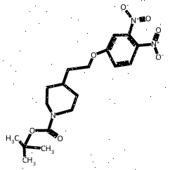 CC(C)(C)OC(=O)N1CCC(CCOc2ccc([N+](=O)[O-])c([N+](=O)[O-])c2)CC1